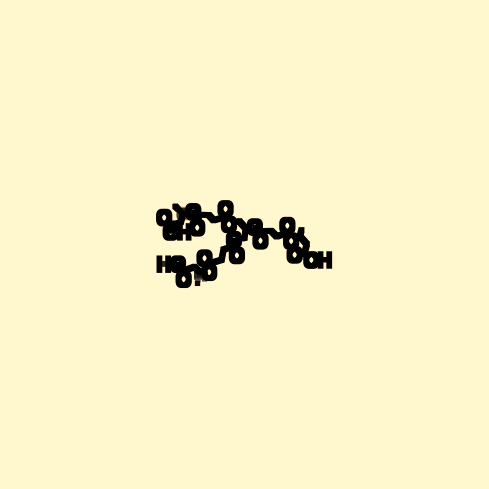 CC(CC(=O)O)OC(=O)CCC(=O)OC(COC(=O)CCC(=O)O[C@H](C)CC(=O)O)COC(=O)CCC(=O)O[C@H](C)CC(=O)O